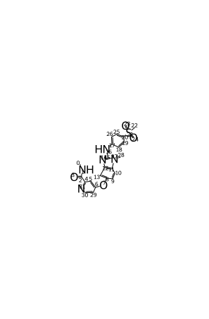 CNC(=O)c1cc(Oc2ccc3c(c2)nc(Nc2ccc(S(C)(=O)=O)cc2)n3C)ccn1